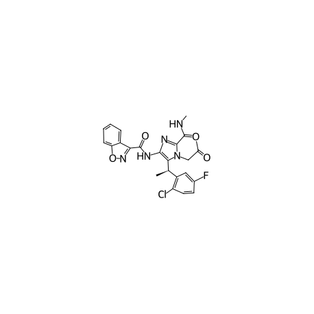 CNC(=O)c1nc(NC(=O)c2noc3ccccc23)c([C@H](C)c2cc(F)ccc2Cl)n1CC(C)=O